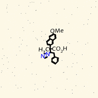 COc1ccc2cc(C(C)(C(=O)O)C(Cc3ccccc3)n3ccnc3)ccc2c1